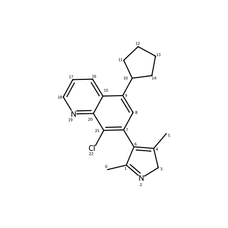 CC1=NCC(C)=C1c1cc(C2CCCC2)c2cccnc2c1Cl